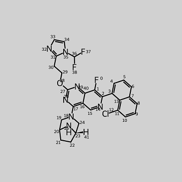 Fc1c(-c2cccc3cccc(Cl)c23)ncc2c(N3CC4CC[C@@H](C3)N4)nc(OCCc3nccn3C(F)F)nc12